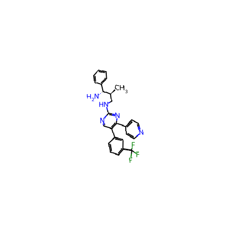 C[C@@H](CNc1ncc(-c2cccc(C(F)(F)F)c2)c(-c2ccncc2)n1)[C@H](N)c1ccccc1